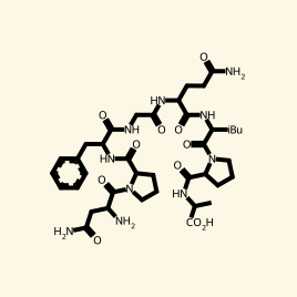 CCC(C)C(NC(=O)C(CCC(N)=O)NC(=O)CNC(=O)C(Cc1ccccc1)NC(=O)C1CCCN1C(=O)C(N)CC(N)=O)C(=O)N1CCCC1C(=O)NC(C)C(=O)O